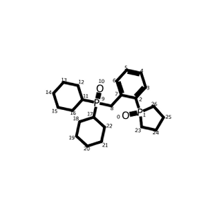 O=P1(c2ccccc2CP(=O)(C2CCCCC2)C2CCCCC2)CCCC1